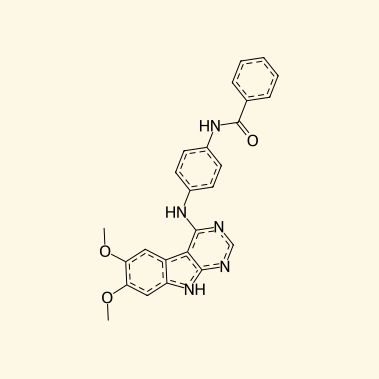 COc1cc2[nH]c3ncnc(Nc4ccc(NC(=O)c5ccccc5)cc4)c3c2cc1OC